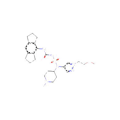 COCCn1cc(N(C2CCN(C)CC2)S(=O)(=O)NC(=O)Nc2c3c(cc4c2CCC4)CCC3)cn1